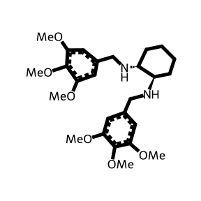 COc1cc(CN[C@@H]2CCCC[C@H]2NCc2cc(OC)c(OC)c(OC)c2)cc(OC)c1OC